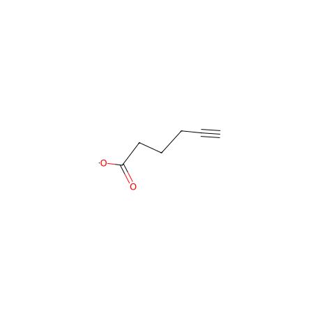 C#CCCCC([O])=O